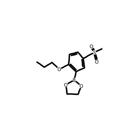 CCCOc1ccc(S(C)(=O)=O)cc1B1OCCO1